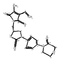 C=CC1=C(C)C(=O)N(C[C@H]2CN(c3ccc(N4CCOCC4=O)cc3)C(=O)O2)C1=O